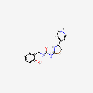 O=C(NCc1ccccc1O)NC1=NC(c2ccncc2)CS1